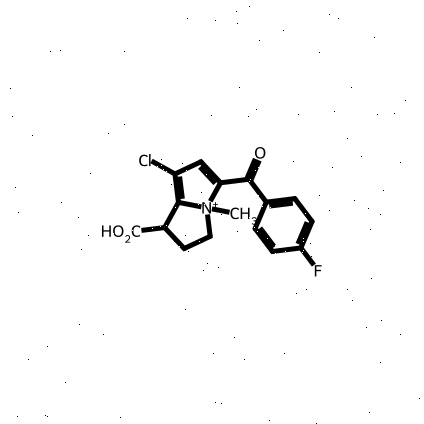 C[N+]12CCC(C(=O)O)C1=C(Cl)C=C2C(=O)c1ccc(F)cc1